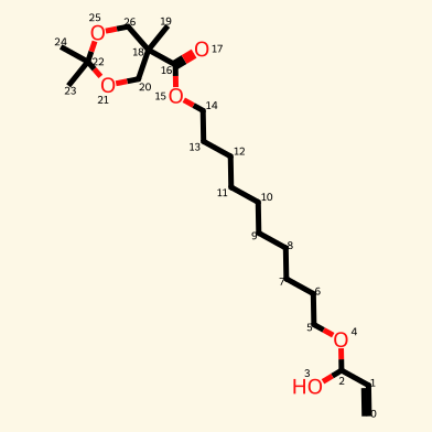 C=CC(O)OCCCCCCCCCCOC(=O)C1(C)COC(C)(C)OC1